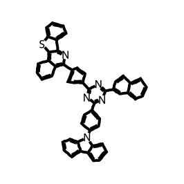 c1ccc2cc(-c3nc(-c4ccc(-c5nc6c7ccccc7sc6c6ccccc56)cc4)nc(-c4ccc(-n5c6ccccc6c6ccccc65)cc4)n3)ccc2c1